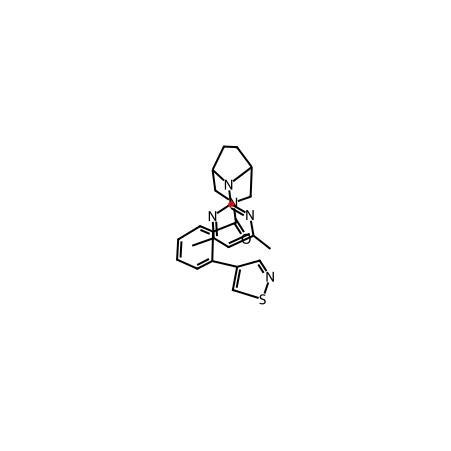 Cc1cc(C)nc(N2C3CCC2CN(C(=O)c2ccccc2-c2cnsc2)C3)n1